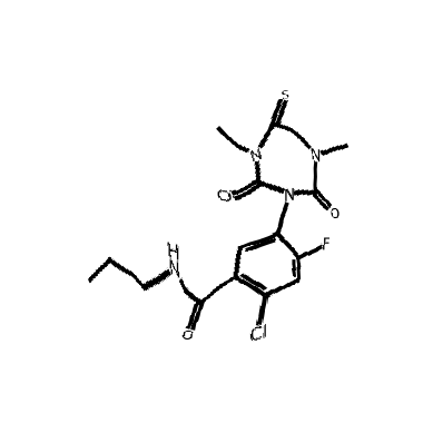 CCCNC(=O)c1cc(-n2c(=O)n(C)c(=S)n(C)c2=O)c(F)cc1Cl